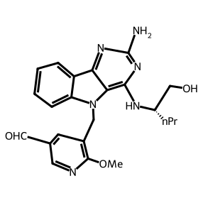 CCC[C@@H](CO)Nc1nc(N)nc2c3ccccc3n(Cc3cc(C=O)cnc3OC)c12